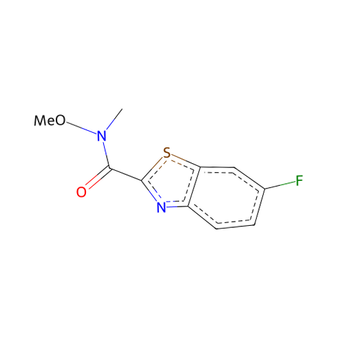 CON(C)C(=O)c1nc2ccc(F)cc2s1